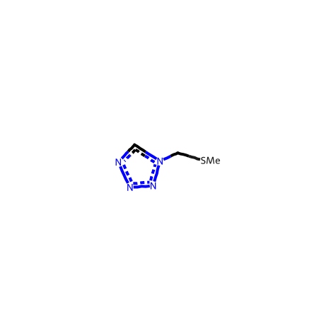 CSCn1cnnn1